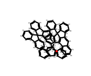 c1ccc(N(c2ccccc2)c2ccc3c(c2)C2(c4ccccc4-3)c3ccccc3-c3cc4ccccc4c(N(c4ccccc4)c4ccc5c(c4)C4(c6ccccc6-c6ccccc64)c4ccccc4-5)c32)cc1